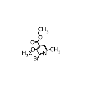 CCOC(=O)c1cc(C)nc(Br)c1OC